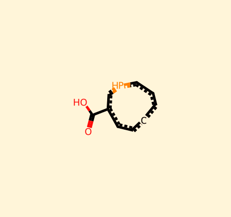 O=C(O)c1cccccc[pH]c1